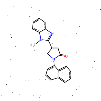 Cn1c(C2CC(=O)N(c3cccc4ccccc34)C2)nc2ccccc21